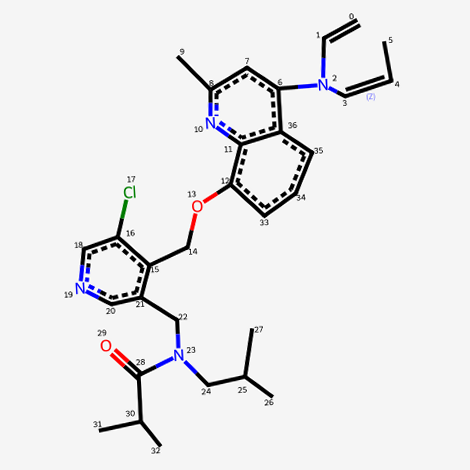 C=CN(/C=C\C)c1cc(C)nc2c(OCc3c(Cl)cncc3CN(CC(C)C)C(=O)C(C)C)cccc12